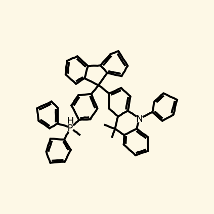 CC1(C)c2ccccc2N(c2ccccc2)C2=CC=C(C3(c4ccc([PH](C)(c5ccccc5)c5ccccc5)cc4)c4ccccc4-c4ccccc43)CC21